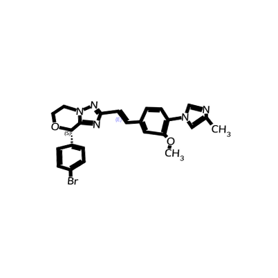 COc1cc(/C=C/c2nc3n(n2)CCO[C@H]3c2ccc(Br)cc2)ccc1-n1cnc(C)c1